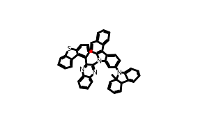 CC12C=CC=CC1c1ccccc1N2c1ccc2c3c4ccccc4ccc3n(-c3nc4ccccc4nc3-c3cccc4sc5ccccc5c34)c2c1